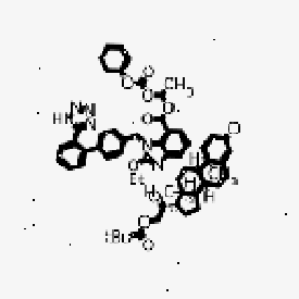 CC(C)(C)C(=O)OCC(=O)[C@H]1CC[C@H]2[C@@H]3CCC4=CC(=O)CC[C@]4(C)[C@H]3CC[C@]12C.CCOc1nc2cccc(C(=O)OC(C)OC(=O)OC3CCCCC3)c2n1Cc1ccc(-c2ccccc2-c2nnn[nH]2)cc1